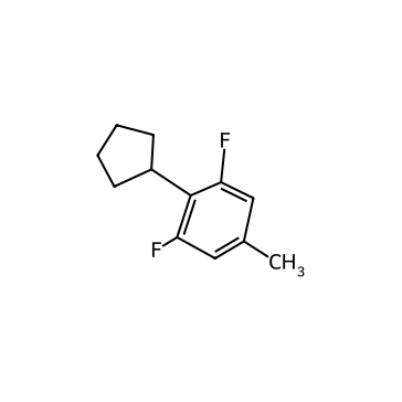 Cc1cc(F)c(C2CCCC2)c(F)c1